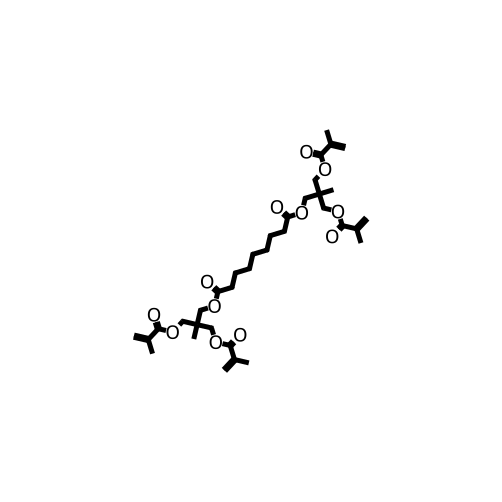 C=C(C)C(=O)OCC(C)(COC(=O)CCCCCCCC(=O)OCC(C)(COC(=O)C(=C)C)COC(=O)C(=C)C)COC(=O)C(=C)C